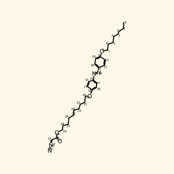 CCCCCCCCOc1ccc(N=Nc2ccc(OCCCCCCCCCCOC(=O)C=[N+]=[N-])cc2)cc1